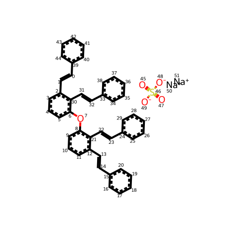 C(=Cc1cccc(Oc2cccc(C=Cc3ccccc3)c2C=Cc2ccccc2)c1C=Cc1ccccc1)c1ccccc1.O=S(=O)([O-])[O-].[Na+].[Na+]